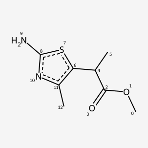 COC(=O)C(C)c1sc(N)nc1C